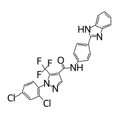 O=C(Nc1ccc(-c2nc3ccccc3[nH]2)cc1)c1cnn(-c2ccc(Cl)cc2Cl)c1C(F)(F)F